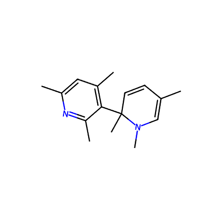 CC1=CN(C)C(C)(c2c(C)cc(C)nc2C)C=C1